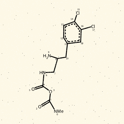 CNC(=O)OC(=O)NCC(N)Cc1ccc(Cl)c(Cl)c1